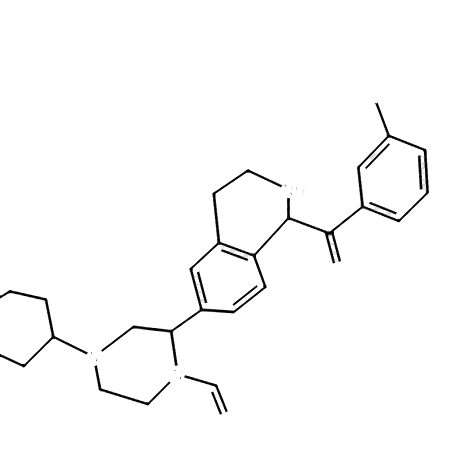 O=CN1CCN(C2CCCCC2)CC1c1ccc2c(c1)CCNC2C(=O)c1cccc(Cl)c1